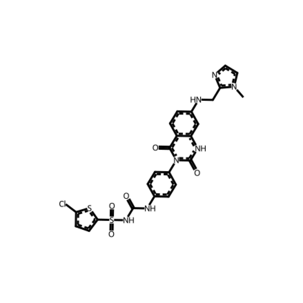 Cn1ccnc1CNc1ccc2c(=O)n(-c3ccc(NC(=O)NS(=O)(=O)c4ccc(Cl)s4)cc3)c(=O)[nH]c2c1